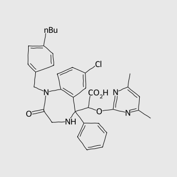 CCCCc1ccc(CN2C(=O)CNC(c3ccccc3)(C(Oc3nc(C)cc(C)n3)C(=O)O)c3cc(Cl)ccc32)cc1